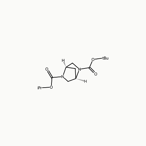 CC(C)OC(=O)N1C[C@H]2C[C@@H]1CN2C(=O)OC(C)(C)C